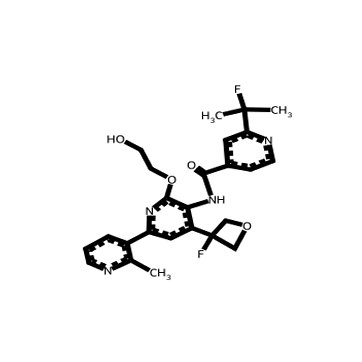 Cc1ncccc1-c1cc(C2(F)COC2)c(NC(=O)c2ccnc(C(C)(C)F)c2)c(OCCO)n1